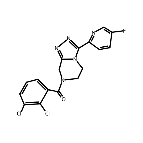 O=C(c1cccc(Cl)c1Cl)N1CCn2c(nnc2-c2ccc(F)cn2)C1